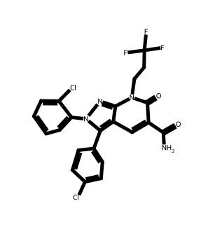 NC(=O)c1cc2c(-c3ccc(Cl)cc3)n(-c3ccccc3Cl)nc2n(CCC(F)(F)F)c1=O